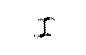 CCCCc1cc(Cc2ccc(N)cc2)ccc1CCCCCCCCCCCCCCc1ccc(Cc2ccc(N)cc2)cc1CCCC